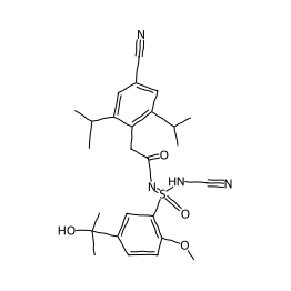 COc1ccc(C(C)(C)O)cc1S(=O)(=NC(=O)Cc1c(C(C)C)cc(C#N)cc1C(C)C)NC#N